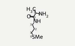 CSCCCNC(=O)C(C)N